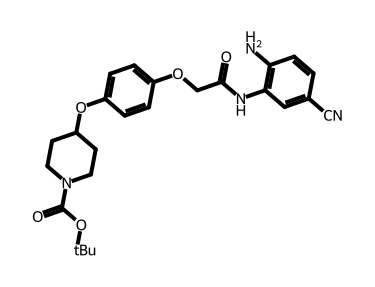 CC(C)(C)OC(=O)N1CCC(Oc2ccc(OCC(=O)Nc3cc(C#N)ccc3N)cc2)CC1